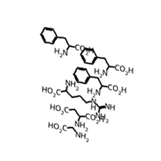 N=C(N)NCCCC(N)C(=O)O.NC(CC(=O)O)C(=O)O.NC(Cc1ccccc1)C(=O)O.NC(Cc1ccccc1)C(=O)O.NC(Cc1ccccc1)C(=O)O.NCC(=O)O